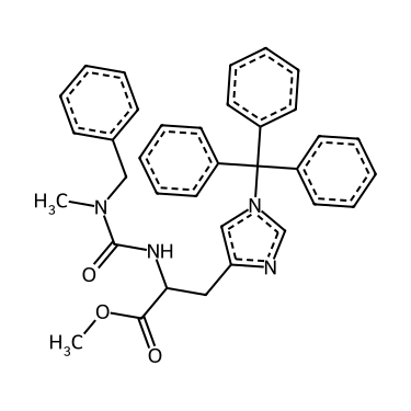 COC(=O)C(Cc1cn(C(c2ccccc2)(c2ccccc2)c2ccccc2)cn1)NC(=O)N(C)Cc1ccccc1